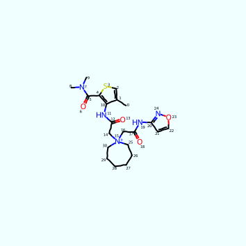 Cc1csc(C(=O)N(C)C)c1NC(=O)C[N+]1(CC(=O)Nc2ccon2)CCCCCC1